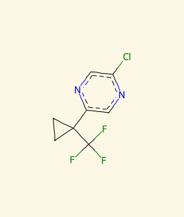 FC(F)(F)C1(c2cnc(Cl)cn2)CC1